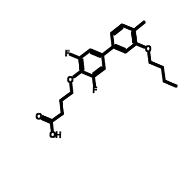 CCCCOc1cc(-c2cc(F)c(OCCCC(=O)O)c(F)c2)ccc1C